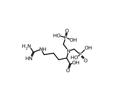 N=C(N)NCCCC(C(=O)O)N(CP(=O)(O)O)CP(=O)(O)O